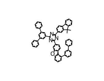 CC1(C)c2ccccc2-c2ccc(-c3nc(-c4cc(-c5ccccc5)cc(-c5ccccc5)c4)nc(-c4ccc5c(c4)oc4cccc(-c6cccc(-c7ccccc7)c6)c45)n3)cc21